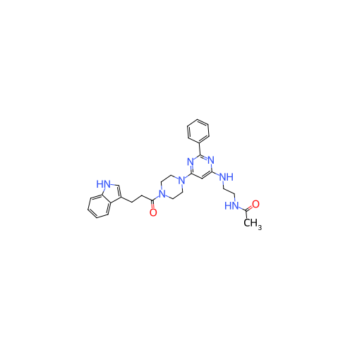 CC(=O)NCCNc1cc(N2CCN(C(=O)CCc3c[nH]c4ccccc34)CC2)nc(-c2ccccc2)n1